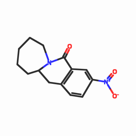 O=C1c2cc([N+](=O)[O-])ccc2CC2CCCCCN12